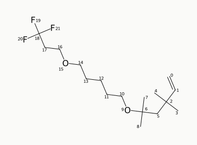 C=CC(C)(C)CC(C)(C)OCCCCCOCCC(F)(F)F